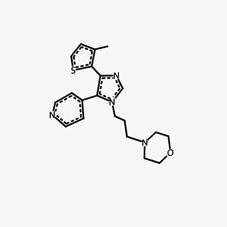 Cc1ccsc1-c1ncn(CCCN2CCOCC2)c1-c1ccncc1